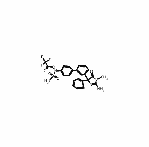 CN1C(=O)C(c2ccccc2)(c2cccc(-c3ccc(N(OC(=O)C(F)(F)F)S(C)(=O)=O)cc3)c2)N=C1N